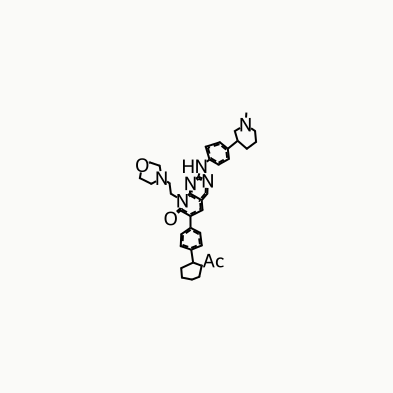 CC(=O)C1CCCCC1c1ccc(-c2cc3cnc(Nc4ccc(C5CCCN(C)C5)cc4)nc3n(CCN3CCOCC3)c2=O)cc1